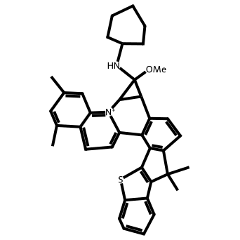 COC1(NC2CCCCC2)C2c3ccc4c(c3-c3ccc5c(C)cc(C)cc5[n+]3C21)-c1sc2ccccc2c1C4(C)C